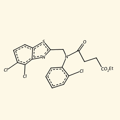 CCOC(=O)CCC(=O)N(Cc1nc2c(Cl)c(Cl)ccc2s1)c1ccccc1Cl